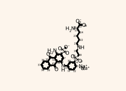 Nc1c(S(=O)(=O)[O-])cc(Nc2cccc(S(=O)(=O)CCNCCCC[C@H](N)C(=O)[O-])c2)c2c1C(=O)c1ccccc1C2=O.[Na+].[Na+]